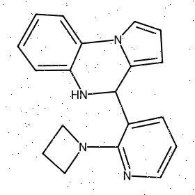 c1ccc2c(c1)NC(c1cccnc1N1CCC1)c1cccn1-2